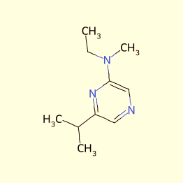 CCN(C)c1cncc(C(C)C)n1